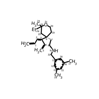 C=C/C=C(\C=C)[C@]1(CCNCc2cc(C)cc(C)c2)CCOC(C)(CC)C1